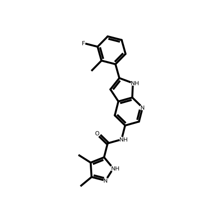 Cc1n[nH]c(C(=O)Nc2cnc3[nH]c(-c4cccc(F)c4C)cc3c2)c1C